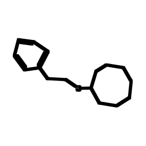 c1ccc(CCOC2CCCCCCC2)cc1